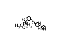 CC(C)(O)CS(=O)(=O)c1cccc(COc2ccc(-c3ccn[nH]3)nc2)c1